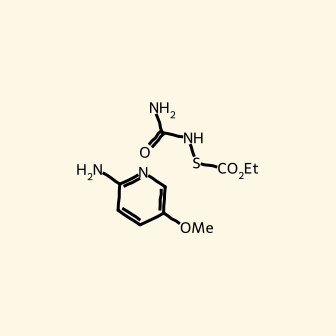 CCOC(=O)SNC(N)=O.COc1ccc(N)nc1